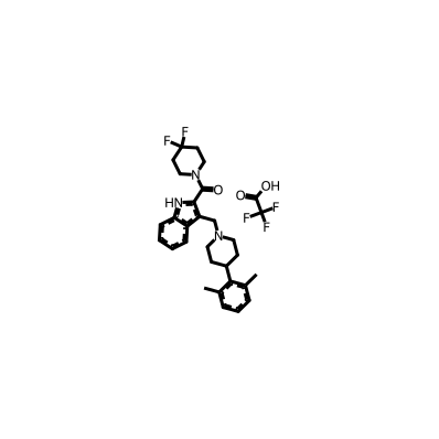 Cc1cccc(C)c1C1CCN(Cc2c(C(=O)N3CCC(F)(F)CC3)[nH]c3ccccc23)CC1.O=C(O)C(F)(F)F